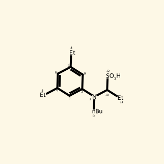 CCCCN(c1cc(CC)cc(CC)c1)C(CC)S(=O)(=O)O